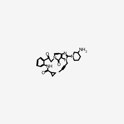 CC#CCn1c(N2CCCC(N)C2)nc2ccn(CC(=O)c3ccccc3NC(=O)C3CC3)c(=O)c21